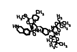 COC(=O)[C@@H]1C[C@H](C)CCN1C(=O)[C@H](CC1=CCCN(C(=NC(=O)OC(C)(C)C)NC(=O)OC(C)(C)C)C1)NS(=O)(=O)c1ccc2c(c1)CNCC2